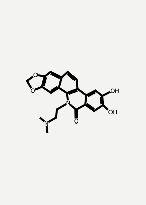 CN(C)CCn1c(=O)c2cc(O)c(O)cc2c2ccc3cc4c(cc3c21)OCO4